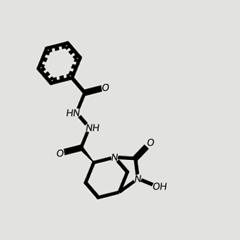 O=C(NNC(=O)[C@@H]1CCC2CN1C(=O)N2O)c1ccccc1